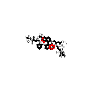 CC(C)CC(CP(c1ccccc1)c1ccc2ccccc2c1-c1c(P(CC(CC(C)C)NCCC(=O)NS(=O)(=O)C(F)(F)F)c2ccccc2)ccc2ccccc12)NCCC(=O)NS(=O)(=O)C(F)(F)F